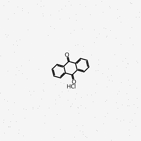 Cl.O=C1c2ccccc2C(=O)c2ccccc21